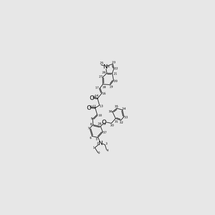 CCN(CC)c1ccc(/C=C/C(=O)CC(=O)/C=C/c2ccc3ccn(C)c3c2)c(OCc2ccccc2)c1